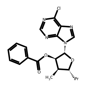 CC(C)[C@H]1O[C@@H](n2cnc3c(Cl)ncnc32)[C@H](OC(=O)c2ccccc2)[C@@H]1C